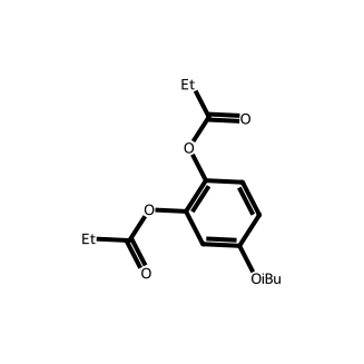 CCC(=O)Oc1ccc(OCC(C)C)cc1OC(=O)CC